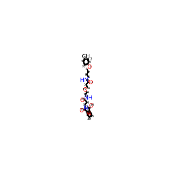 Cc1ccc(OCCCCNC(=O)CCOCCNC(=O)CCN2C(=O)c3c(c4ccc3o4)C2=O)cc1